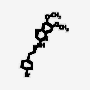 COc1cc2ncc(NN=CCc3ccc(Br)cc3)nc2cc1OC